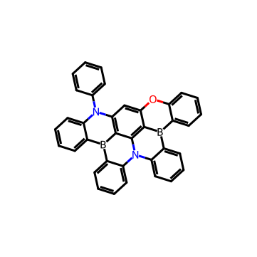 c1ccc(N2c3ccccc3B3c4ccccc4N4c5ccccc5B5c6ccccc6Oc6cc2c3c4c65)cc1